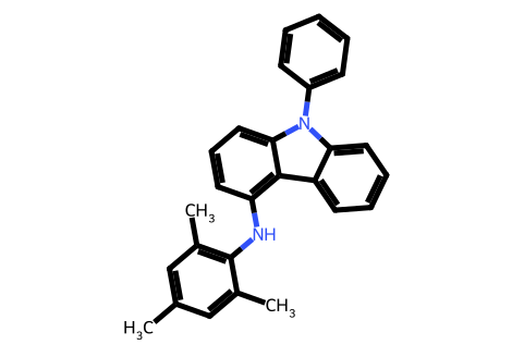 Cc1cc(C)c(Nc2cccc3c2c2ccccc2n3-c2ccccc2)c(C)c1